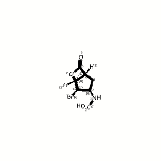 O=C(O)N[C@@H]1C[C@H]2C(=O)O[C@H]2[C@@H]1Br